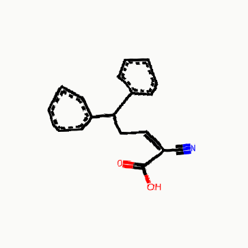 N#CC(=CCC(c1ccccc1)c1ccccc1)C(=O)O